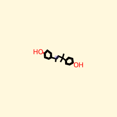 C/C(=C\C(C)(C)c1ccc(O)cc1)c1ccc(O)cc1